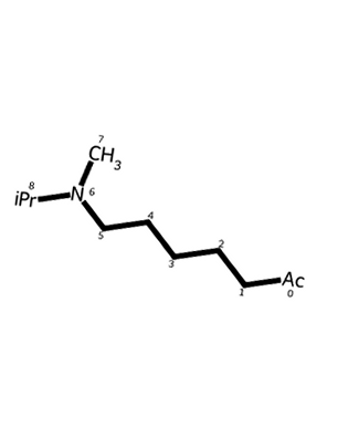 CC(=O)CCCCCN(C)C(C)C